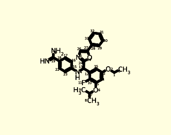 CCOc1cc(OC(C)C)c(F)c(C(Nc2ccc(C(=N)N)cc2)c2ncc(-c3ccccc3)o2)c1